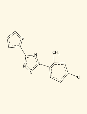 Cc1cc(Cl)ccc1-n1nnc(-c2cccs2)n1